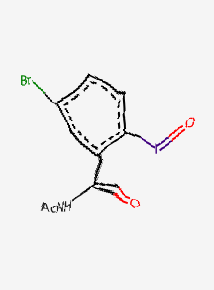 CC(=O)NC(=O)c1cc(Br)ccc1I=O